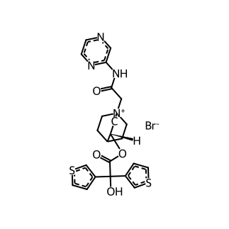 O=C(C[N+]12CCC(CC1)[C@@H](OC(=O)C(O)(c1ccsc1)c1ccsc1)C2)Nc1cnccn1.[Br-]